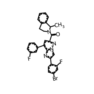 CC1c2ccccc2CCN1C(=O)c1cc(-c2cccc(F)c2)c2nc(-c3ccc(Br)cc3F)cn2n1